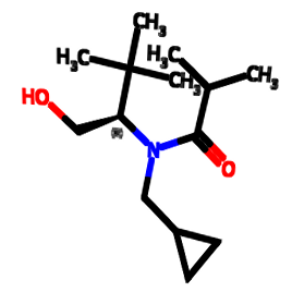 CC(C)C(=O)N(CC1CC1)[C@@H](CO)C(C)(C)C